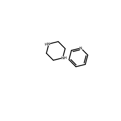 C1CNCCN1.c1ccncc1